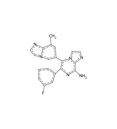 Cc1cc(-c2c(-c3cccc(F)c3)nc(N)c3nccn23)cn2ccnc12